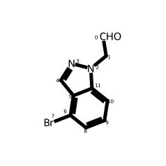 O=CCn1ncc2c(Br)cccc21